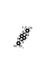 N#Cc1ccc(N2C(=O)c3ccc4c5c(ccc(c35)C2=O)C(=O)N(c2ccc(C#N)c(C(F)(F)F)c2)C4=O)cc1C(F)(F)F